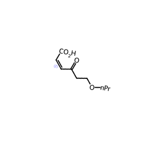 CCCOCCC(=O)/C=C\C(=O)O